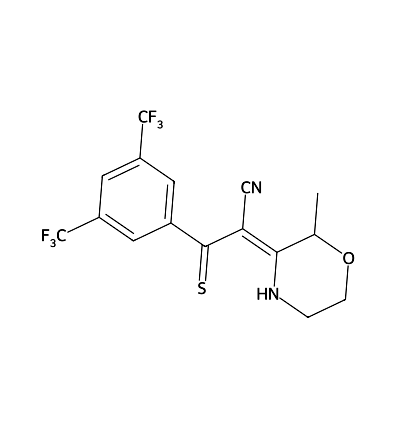 CC1OCCN/C1=C(/C#N)C(=S)c1cc(C(F)(F)F)cc(C(F)(F)F)c1